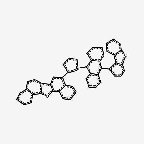 c1cc(-c2c3ccccc3c(-c3cccc4oc5ccccc5c34)c3ccccc23)cc(-c2cc3c4ccc5ccccc5c4oc3c3ccccc23)c1